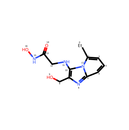 CCc1cccc2nc(CO)c(NCC(=O)NO)n12